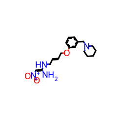 NC(=C[N+](=O)[O-])NCC=CCOc1cccc(CN2CCCCC2)c1